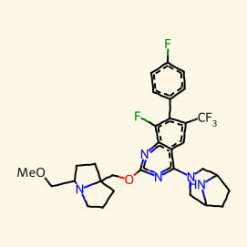 COCC1CCC2(COc3nc(N4CC5CCC(C4)N5)c4cc(C(F)(F)F)c(-c5ccc(F)cc5)c(F)c4n3)CCCN12